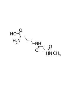 CNC(=O)CCC(=O)NCCCC[C@H](N)C(=O)O